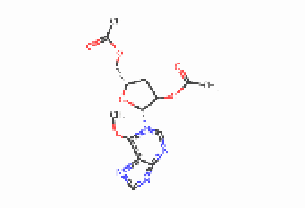 COc1c2ncnc-2ncn1[C@@H]1O[C@H](COC(C)=O)C[C@H]1OC(C)=O